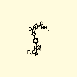 NC(=O)[C@H]1CCN(C(=O)N2CC(c3ccc(-c4nnc(C5(C(F)(F)F)CC5)[nH]4)cc3)C2)C1